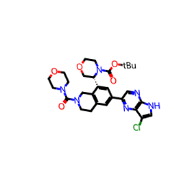 CC(C)(C)OC(=O)N1CCOC[C@H]1c1cc(-c2cnc3[nH]cc(Cl)c3n2)cc2c1CN(C(=O)N1CCOCC1)CC2